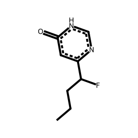 CCCC(F)c1cc(=O)[nH]cn1